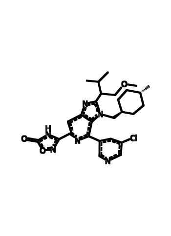 COCC(c1nc2cc(-c3noc(=O)[nH]3)nc(-c3cncc(Cl)c3)c2n1C[C@H]1CC[C@H](C)CC1)C(C)C